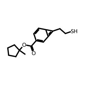 CC1(OC(=O)C2=CC3=C(CCS)C3C=C2)CCCC1